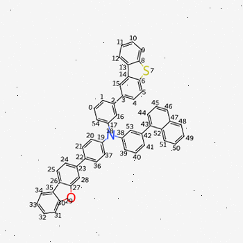 c1cc(-c2ccc3sc4ccccc4c3c2)cc(N(c2ccc(-c3ccc4c(c3)oc3ccccc34)cc2)c2cccc(-c3cccc4ccccc34)c2)c1